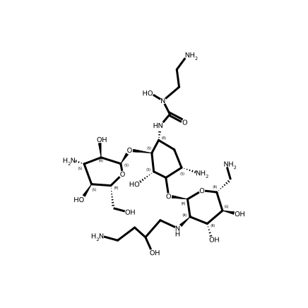 NCCC(O)CN[C@H]1[C@@H](OC2[C@@H](N)C[C@@H](NC(=O)N(O)CCN)[C@H](O[C@H]3O[C@H](CO)[C@@H](O)[C@H](N)[C@H]3O)[C@H]2O)O[C@H](CN)[C@@H](O)[C@@H]1O